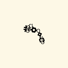 CC1(C)OB(c2ccc(O[C@H]3C[C@H](N4CCOCC4)C3)cc2Cl)OC1(C)C